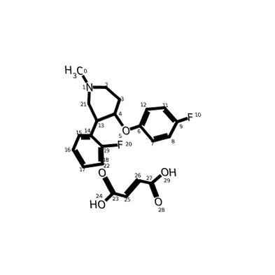 CN1CCC(Oc2ccc(F)cc2)C(c2ccccc2F)C1.O=C(O)C=CC(=O)O